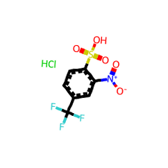 Cl.O=[N+]([O-])c1cc(C(F)(F)F)ccc1S(=O)(=O)O